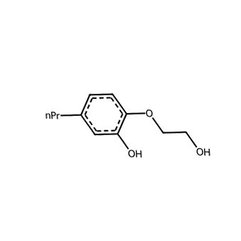 CCCc1ccc(OCCO)c(O)c1